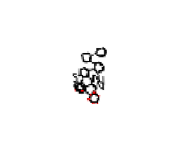 c1ccc(-c2ccccc2-c2ccccc2-c2ccc3sc4ccccc4c3c2-c2nnnc(-c3ccccc3)c2-c2ccccc2-c2ccccc2)cc1